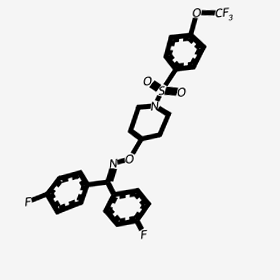 O=S(=O)(c1ccc(OC(F)(F)F)cc1)N1CCC(ON=C(c2ccc(F)cc2)c2ccc(F)cc2)CC1